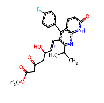 COC(=O)CC(=O)CC(O)/C=C/c1c(C(C)C)nc2[nH]c(=O)ccc2c1-c1ccc(F)cc1